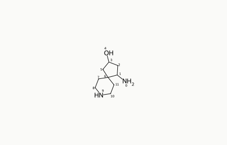 NC1CC(O)CC12CCNCC2